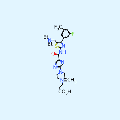 CCN(CC)Cc1sc(NC(=O)c2cnc(N3CCN(CCC(=O)O)[C@H](C)C3)cn2)nc1-c1cc(F)cc(C(F)(F)F)c1